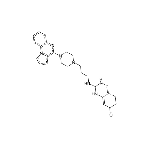 O=C1C=C2NC(NCCCN3CCN(c4nc5ccccc5n5cccc45)CC3)NC=C2CC1